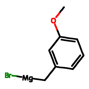 COc1cccc([CH2][Mg][Br])c1